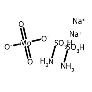 NS(=O)(=O)O.NS(=O)(=O)O.[Na+].[Na+].[O]=[Mo](=[O])([O-])[O-]